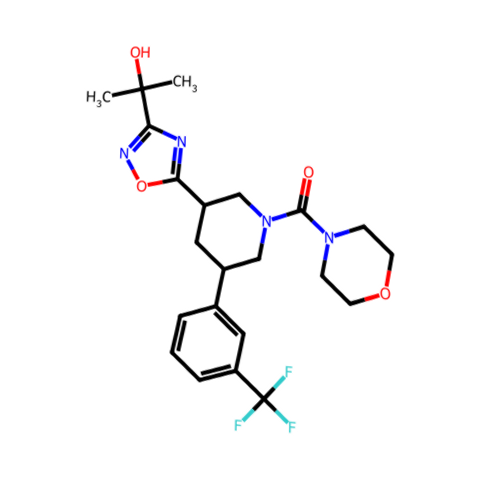 CC(C)(O)c1noc(C2CC(c3cccc(C(F)(F)F)c3)CN(C(=O)N3CCOCC3)C2)n1